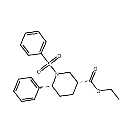 CCOC(=O)[C@@H]1CC[C@H](c2ccccc2)N(S(=O)(=O)c2ccccc2)C1